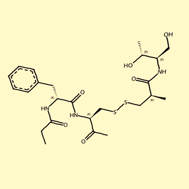 CCC(=O)N[C@H](Cc1ccccc1)C(=O)N[C@@H](CSSC[C@H](C)C(=O)N[C@H](CO)[C@@H](C)O)C(C)=O